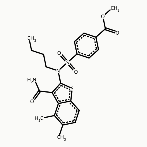 CCCCN(c1sc2ccc(C)c(C)c2c1C(N)=O)S(=O)(=O)c1ccc(C(=O)OC)cc1